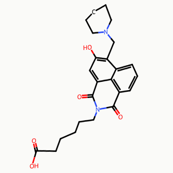 O=C(O)CCCCCN1C(=O)c2cccc3c(CN4CCCCC4)c(O)cc(c23)C1=O